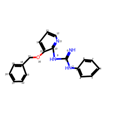 N=C(Nc1ccccc1)Nc1ncccc1OCc1ccccc1